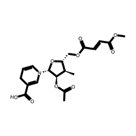 COC(=O)/C=C/C(=O)OC[C@H]1O[C@@H](N2C=CCC(C(=O)O)=C2)[C@H](OC(C)=O)[C@@H]1C